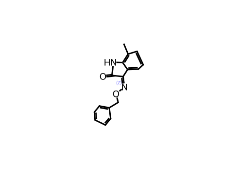 Cc1cccc2c1NC(=O)/C2=N\OCc1ccccc1